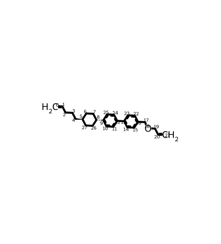 C=CCCC[C@H]1CC[C@H](c2ccc(-c3ccc(COCC=C)cc3)cc2)CC1